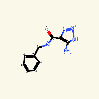 Nc1[nH]nnc1C(=O)NCc1ccccc1